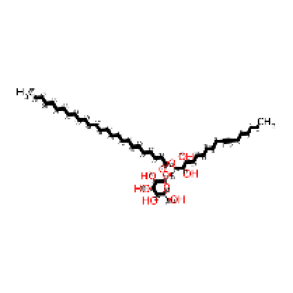 CCCCCCC#CCCCCCC[C@@H](O)[C@@H](O)[C@H](CO[C@H]1O[C@H](CO)[C@H](O)[C@H](O)[C@H]1O)OC(=O)CCCCCCCCCCCCCCCCCCCCCCCCC